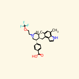 Cc1cc(C)c2[nH]ccc2c1C[C@@H]1CCN(CCOC(F)(F)F)C[C@H]1c1ccc(C(=O)O)cc1